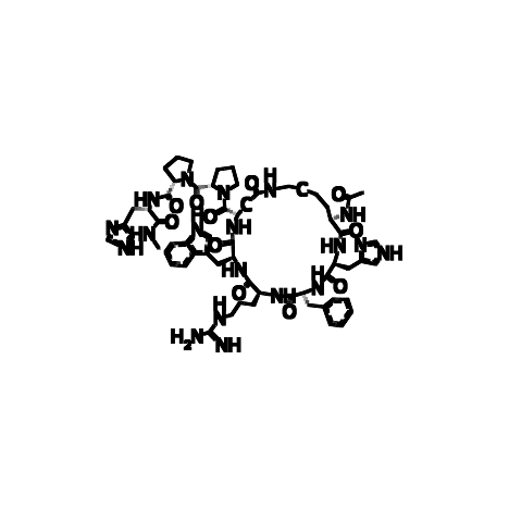 CNC(=O)[C@H](Cc1c[nH]cn1)NC(=O)[C@@H]1CCCN1C(=O)[C@@H]1CCCN1C(=O)[C@@H]1CC(=O)NCCCC[C@H](NC(C)=O)C(=O)N[C@@H](Cc2c[nH]cn2)C(=O)N[C@H](Cc2ccccc2)C(=O)N[C@@H](CCCNC(=N)N)C(=O)N[C@@H](Cc2c[nH]c3ccccc23)C(=O)N1